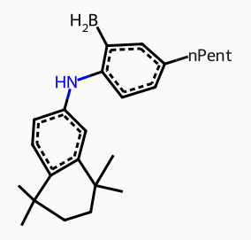 Bc1cc(CCCCC)ccc1Nc1ccc2c(c1)C(C)(C)CCC2(C)C